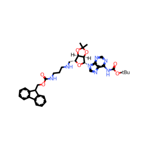 CC(C)(C)OC(=O)Nc1ncnc2c1ncn2[C@@H]1O[C@H](CNCCCNC(=O)OCC2c3ccccc3-c3ccccc32)[C@H]2OC(C)(C)O[C@H]21